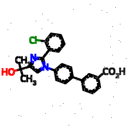 CC(C)(O)c1cn(-c2ccc(-c3cccc(C(=O)O)c3)cc2)c(-c2ccccc2Cl)n1